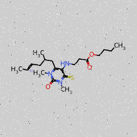 C/C=C/CC(C)Cc1c(NCCC(=O)OCCCC)c(=S)n(C)c(=O)n1C